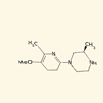 COC1=C(C)N=C(N2CCN[C@H](C)C2)CC1